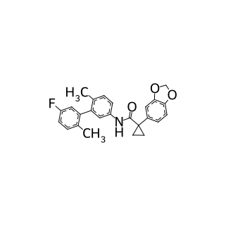 Cc1ccc(F)cc1-c1cc(NC(=O)C2(c3ccc4c(c3)OCO4)CC2)ccc1C